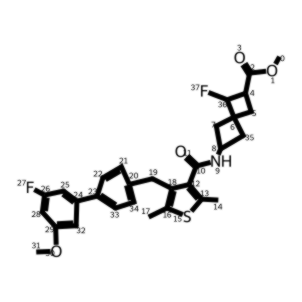 COC(=O)C1CC2(CC(NC(=O)c3c(C)sc(C)c3Cc3ccc(-c4cc(F)cc(OC)c4)cc3)C2)C1F